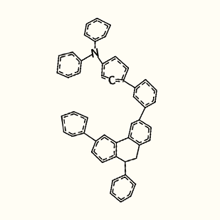 c1ccc(-c2ccc3c(c2)-c2cc(-c4cccc(-c5ccc(N(c6ccccc6)c6ccccc6)cc5)c4)ccc2CC3c2ccccc2)cc1